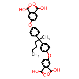 CCCCC(C)(c1ccc(Oc2ccc(C(=O)O)c(C(=O)O)c2)cc1)c1ccc(Oc2ccc(C(=O)O)c(C(=O)O)c2)cc1